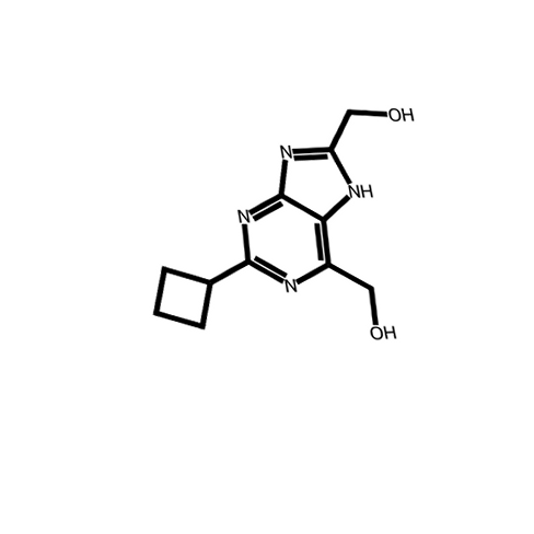 OCc1nc2nc(C3CCC3)nc(CO)c2[nH]1